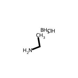 B.CCN.Cl